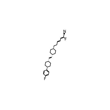 N#CC(F)=CC=CCC[C@H]1CC[C@H](C=C[C@H]2CC[C@H](c3ccc(F)cc3)CC2)CC1